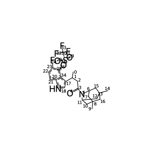 CC(CC(=O)N1C2CC3(C)CC1CC(C)(C2)C3)c1c[nH]c2ccc(F)c(OS(=O)(=O)C(F)(F)F)c12